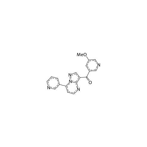 COc1cncc(C(=O)c2cnn3c(-c4cccnc4)ccnc23)c1